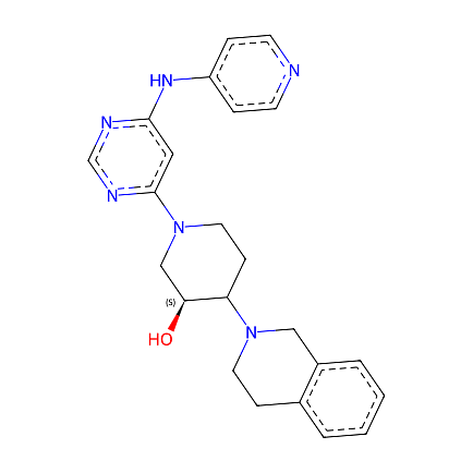 O[C@H]1CN(c2cc(Nc3ccncc3)ncn2)CCC1N1CCc2ccccc2C1